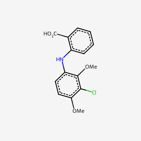 COc1ccc(Nc2ccccc2C(=O)O)c(OC)c1Cl